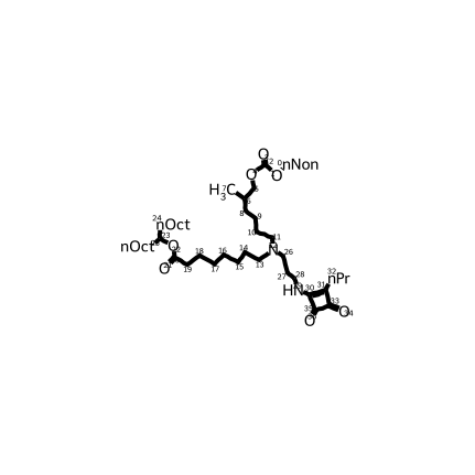 CCCCCCCCCOC(=O)OCC(C)CCCCN(CCCCCCCC(=O)OC(CCCCCCCC)CCCCCCCC)CCCNc1c(CCC)c(=O)c1=O